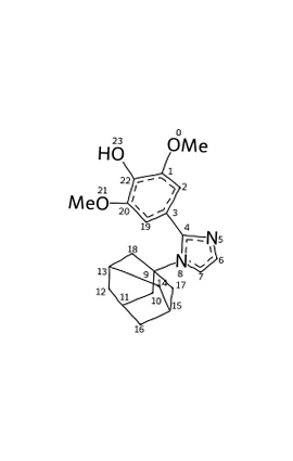 COc1cc(-c2nccn2C23CC4CC(CC(C4)C2)C3)cc(OC)c1O